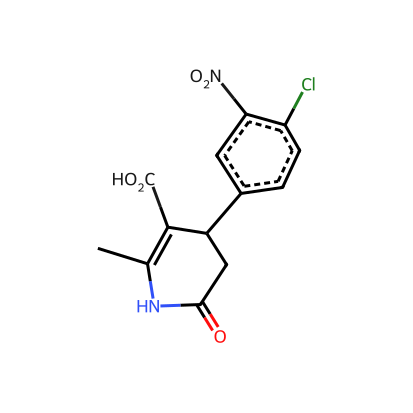 CC1=C(C(=O)O)C(c2ccc(Cl)c([N+](=O)[O-])c2)CC(=O)N1